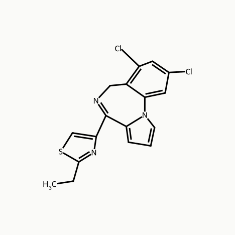 CCc1nc(C2=NCc3c(Cl)cc(Cl)cc3-n3cccc32)cs1